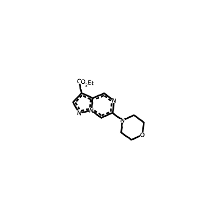 CCOC(=O)c1cnn2cc(N3CCOCC3)ncc12